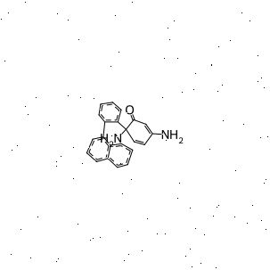 NC1=CC(=O)C(N)(c2ccccc2-c2cccc3ccccc23)C=C1